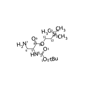 CC(C)(C)OC(=O)NC(CN)C(=O)OCC[Si](C)(C)C